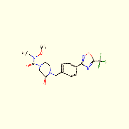 CON(C)C(=O)N1CCN(Cc2ccc(-c3noc(C(F)(F)F)n3)cc2)C(=O)C1